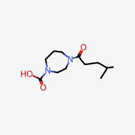 CC(C)CCC(=O)N1CCCN(C(=O)O)CC1